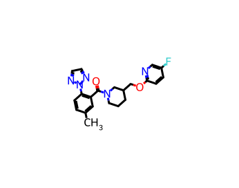 Cc1ccc(-n2nccn2)c(C(=O)N2CCCC(COc3ccc(F)cn3)C2)c1